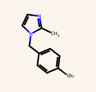 Cc1nccn1Cc1c[c]c(C(C)(C)C)cc1